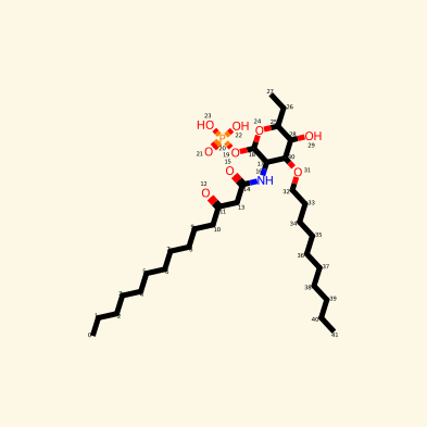 CCCCCCCCCCCC(=O)CC(=O)NC1C(OP(=O)(O)O)OC(CC)C(O)C1OCCCCCCCCCC